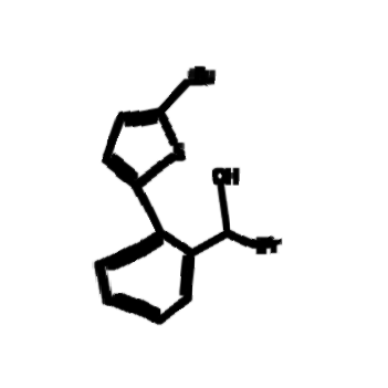 CC(C)C(O)c1ccccc1-c1ccc(C(C)(C)C)s1